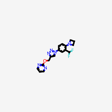 FC(F)c1cc(-n2cc(COc3ncccn3)nn2)ccc1N1CCC1